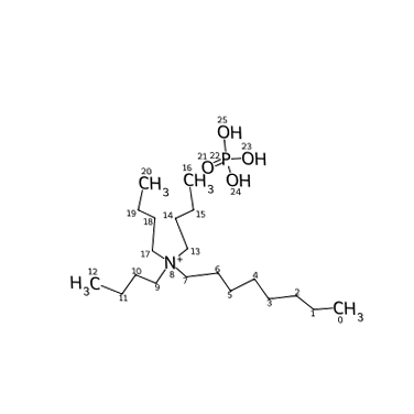 CCCCCCCC[N+](CCCC)(CCCC)CCCC.O=P(O)(O)O